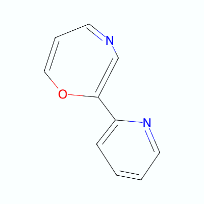 C1=COC(c2ccccn2)=CN=C1